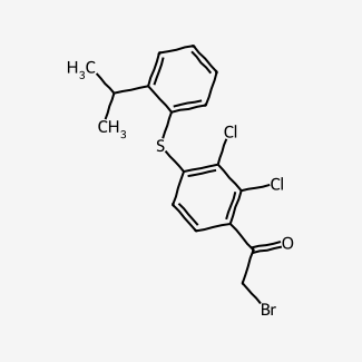 CC(C)c1ccccc1Sc1ccc(C(=O)CBr)c(Cl)c1Cl